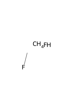 C.CF.F